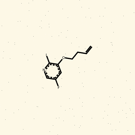 C=CCCOc1cc(F)cnc1I